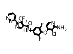 Nc1nccc(Oc2c(F)cc(NC(=O)c3cnn(-c4cccnn4)c3C(F)(F)F)cc2F)c1Cl